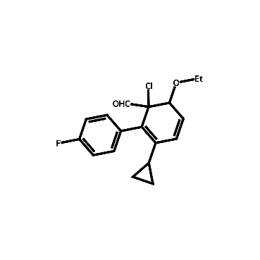 CCOC1C=CC(C2CC2)=C(c2ccc(F)cc2)C1(Cl)C=O